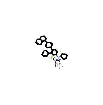 CC(C)(C)N(c1ccccc1F)c1ccc(-c2ccc(-c3cccc4ccccc34)cc2)c(-c2ccccc2)c1F